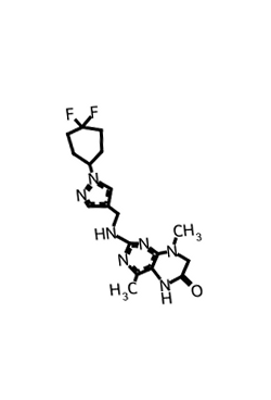 Cc1nc(NCc2cnn(C3CCC(F)(F)CC3)c2)nc2c1NC(=O)CN2C